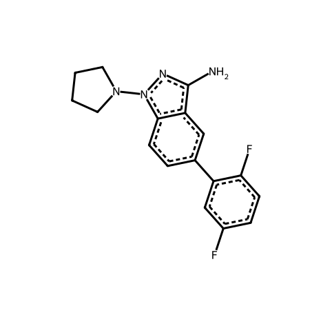 Nc1nn(N2CCCC2)c2ccc(-c3cc(F)ccc3F)cc12